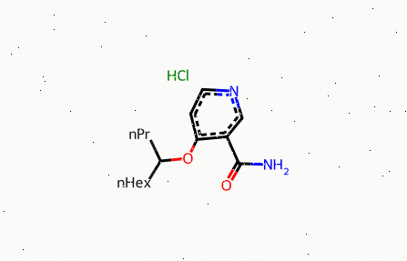 CCCCCCC(CCC)Oc1ccncc1C(N)=O.Cl